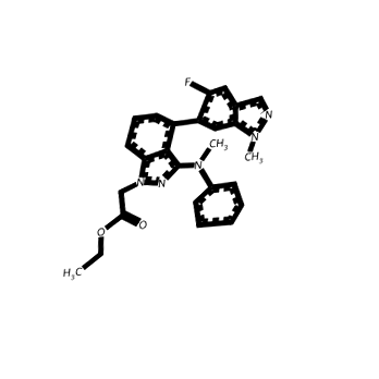 CCOC(=O)Cn1nc(N(C)c2ccccc2)c2c(-c3cc4c(cnn4C)cc3F)cccc21